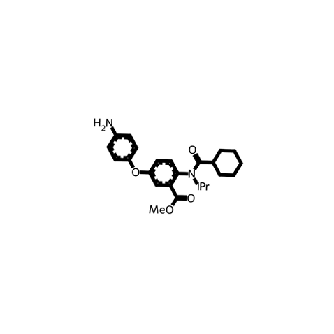 COC(=O)c1cc(Oc2ccc(N)cc2)ccc1N(C(=O)C1CCCCC1)C(C)C